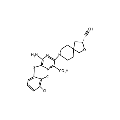 C#C[C@H]1CC2(CCN(c3nc(N)c(Sc4cccc(Cl)c4Cl)nc3C(=O)O)CC2)CO1